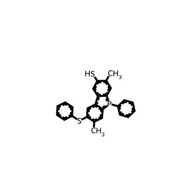 Cc1cc2c(cc1S)c1cc(Sc3ccccc3)c(C)cc1p2-c1ccccc1